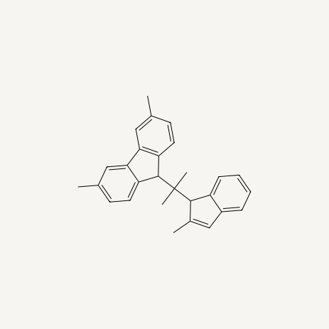 CC1=Cc2ccccc2C1C(C)(C)C1c2ccc(C)cc2-c2cc(C)ccc21